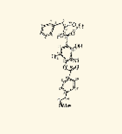 CCOC(=O)[C@H](Cc1ccccc1)NC(=O)c1cc(Cl)c(OC(=O)c2ccc(CCNC)cc2)c(Cl)c1O